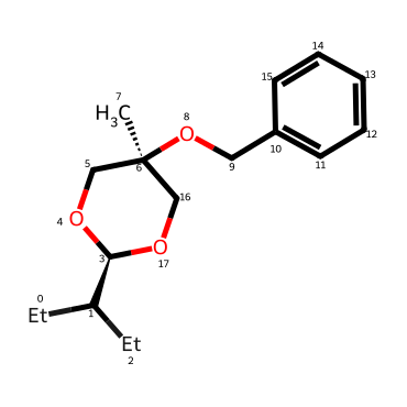 CCC(CC)[C@H]1OC[C@@](C)(OCc2ccccc2)CO1